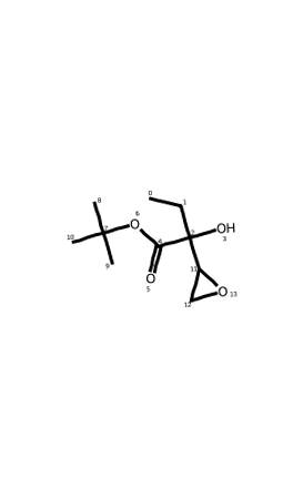 CCC(O)(C(=O)OC(C)(C)C)C1CO1